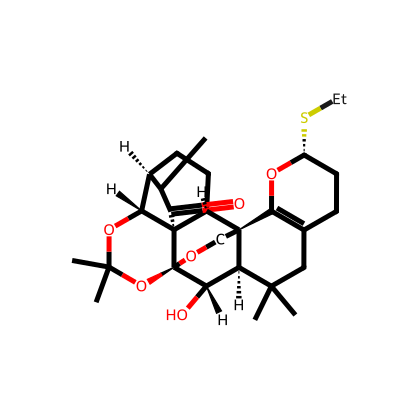 CCS[C@@H]1CCC2=C(O1)[C@@]13CO[C@]4(OC(C)(C)O[C@@H]5[C@H]6CC[C@@H]1[C@]54C(=O)C6C)[C@@H](O)[C@@H]3C(C)(C)C2